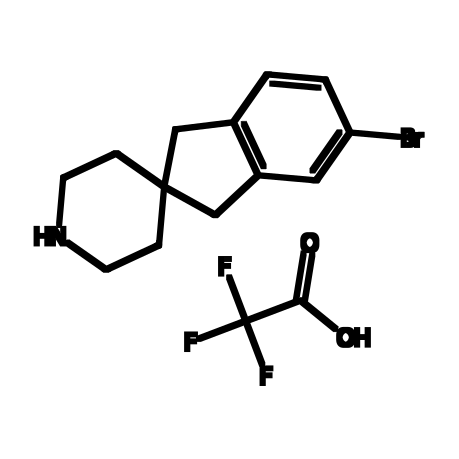 Brc1ccc2c(c1)CC1(CCNCC1)C2.O=C(O)C(F)(F)F